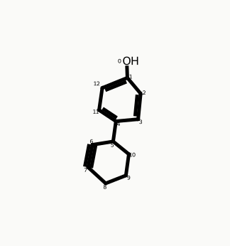 Oc1ccc(C2C#CCCC2)cc1